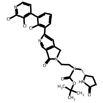 CC(C)(C)OC(=O)N(CCN1Cc2cc(-c3cccc(-c4ccnc(Cl)c4Cl)c3Cl)ncc2C1=O)C[C@@H]1CCC(=O)N1